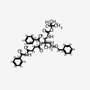 CC(C)(C)OC(=O)NC[C@](C)(CNOCc1ccccc1)N(C(=O)CCC(=O)NC(=O)c1ccccc1)C(=O)c1ccccc1